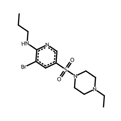 CCCNc1ncc(S(=O)(=O)N2CCN(CC)CC2)cc1Br